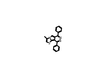 Cc1csc2c3c(-c4ccccc4)nnc(-c4ccccc4)c3cn12